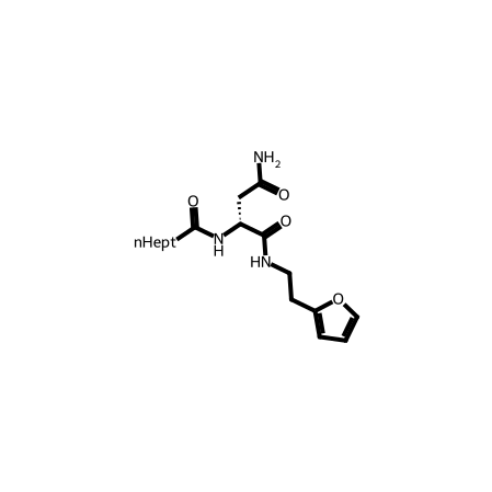 CCCCCCCC(=O)N[C@H](CC(N)=O)C(=O)NCCc1ccco1